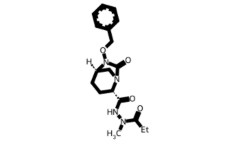 CCC(=O)N(C)NC(=O)[C@@H]1CC[C@@H]2CN1C(=O)N2OCc1ccccc1